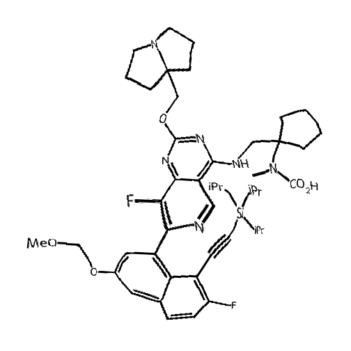 COCOc1cc(-c2ncc3c(NCC4(N(C)C(=O)O)CCCC4)nc(OCC45CCCN4CCC5)nc3c2F)c2c(C#C[Si](C(C)C)(C(C)C)C(C)C)c(F)ccc2c1